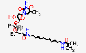 C=C(C)C(=O)NCCCCCCCCCCCCNC(=O)CCC(CC)(CC)O[Si](OC[C@H]1O[C@@H](n2cc(C)c(=O)[nH]c2=O)C[C@H]1O)(C(C)C)C(C)C